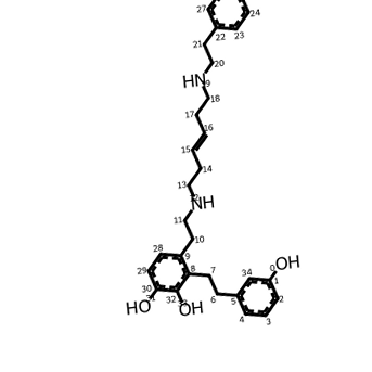 Oc1cccc(CCc2c(CCNCC/C=C/CCNCCc3ccccc3)ccc(O)c2O)c1